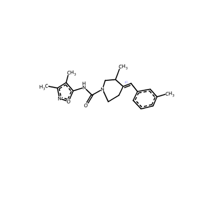 Cc1cccc(/C=C2\CCN(C(=O)Nc3onc(C)c3C)CC2C)c1